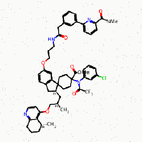 CNC(=O)c1cccc(-c2cccc(CC(=O)NCCCOc3ccc4c(c3)C3(CCC(C(=O)OC)(N(C(=O)C(F)(F)F)c5cccc(Cl)c5)CC3)[C@@H](C[C@@H](C)COc3ccnc5c3[C@H](C)CCC5)C4)c2)n1